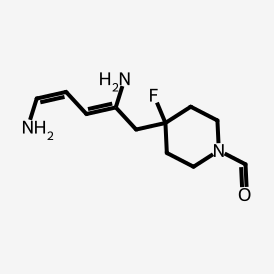 N/C=C\C=C(/N)CC1(F)CCN(C=O)CC1